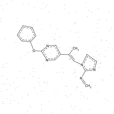 C=Nc1nccn1/C=C(\C)c1cnc(Oc2ccccc2)nc1